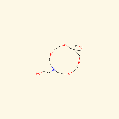 OCCN1CCOCCOCC2(COCCOCC1)COC2